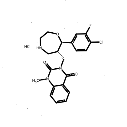 Cl.Cn1c(=O)n(C[C@@H]2CNCCO[C@H]2c2ccc(Cl)c(F)c2)c(=O)c2ccccc21